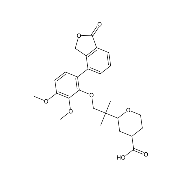 COc1ccc(-c2cccc3c2COC3=O)c(OCC(C)(C)C2CC(C(=O)O)CCO2)c1OC